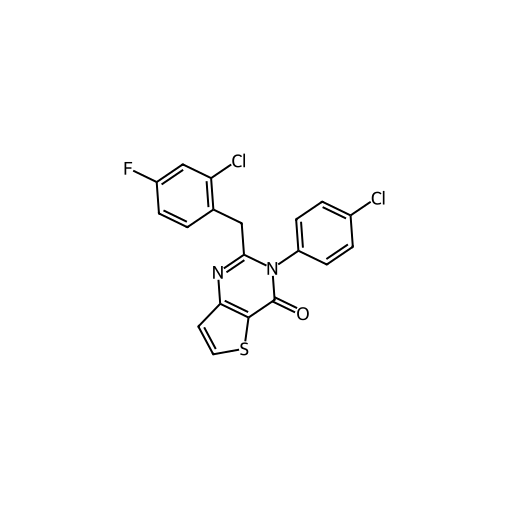 O=c1c2sccc2nc(Cc2ccc(F)cc2Cl)n1-c1ccc(Cl)cc1